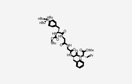 CCC[CH2][Sn]([CH2]CCC)([CH2]CCC)[c]1ccc(C[C@H](NC(=O)OC(C)(C)C)C(=O)NCC(=O)NCC(=O)N[C@@H](Cc2ccccc2)C(=O)N[C@@H](CC(C)C)C(=O)OC)cc1